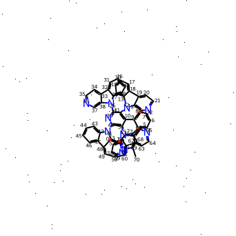 Cc1cc(-c2ccccc2-c2c(-n3c4ccccc4c4ccncc43)c(-n3c4ccccc4c4ccncc43)nc(-n3c4ccccc4c4ccncc43)c2-n2c3ccccc3c3ccncc32)cc(C)n1